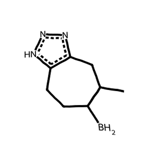 BC1CCc2[nH]nnc2CC1C